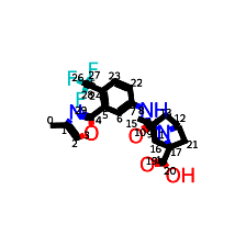 Cc1coc(-c2cc(NC(=O)N3C4CC(C)CC3(C(=O)O)C4)ccc2C(F)(F)F)n1